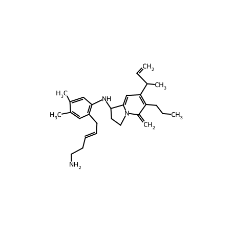 C=CC(C)C1=C(CCC)C(=C)N2CCC(Nc3cc(C)c(C)cc3C/C=C/CCN)C2=C1